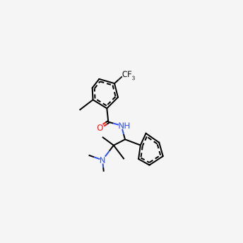 Cc1ccc(C(F)(F)F)cc1C(=O)NC(c1ccccc1)C(C)(C)N(C)C